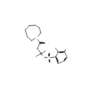 Cc1c(Cl)cccc1S(=O)(=O)NC(C)(C)CC(=O)N1CCCCCCC1